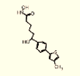 Cc1csc(-c2ccc(C(O)CCCCC(=O)NO)cc2)c1